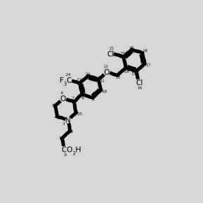 O=C(O)CCN1CCOC(c2ccc(OCc3c(Cl)cccc3Cl)cc2C(F)(F)F)C1